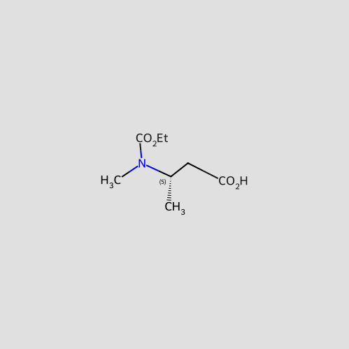 CCOC(=O)N(C)[C@@H](C)CC(=O)O